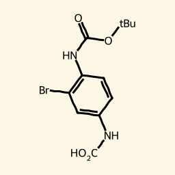 CC(C)(C)OC(=O)Nc1ccc(NC(=O)O)cc1Br